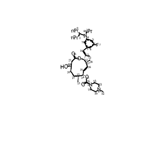 CCCC(CCC)N(c1cc(F)cc(/C=C(\C)[C@H]2OC(=O)C[C@H](O)CC[C@H](C)[C@@H](OC(=O)N3CCN(C)CC3)/C=C/[C@@H]2C)c1)C(C)C